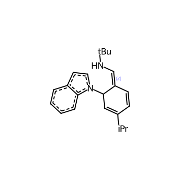 CC(C)C1=CC(n2ccc3ccccc32)/C(=C\NC(C)(C)C)C=C1